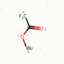 CCC(C)OC(=O)C(F)(F)F